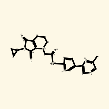 Cc1cncc(-c2ccc(NC(=O)CN3CCCC4=C3C(=O)N(C3CC3)C4=O)nc2)n1